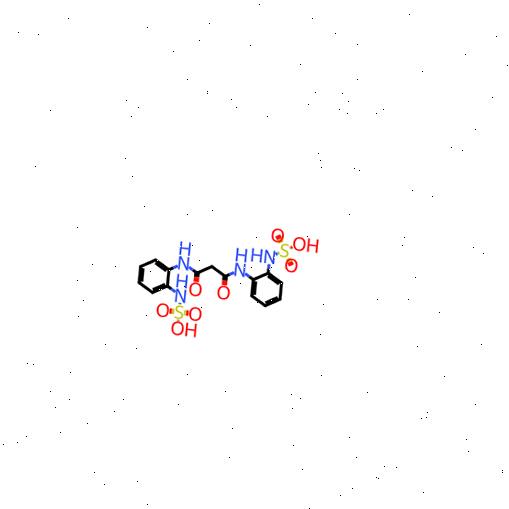 O=C(CC(=O)Nc1ccccc1NS(=O)(=O)O)Nc1ccccc1NS(=O)(=O)O